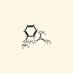 CN(C)C.Cc1ccccc1.[AlH3]